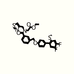 CCOC(=O)CN(Cc1cscn1)C(=O)c1cccc(COc2ccc(-c3cc(F)c(F)cc3SC)cc2)c1